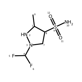 CC1NN(C(F)F)CC1S(N)(=O)=O